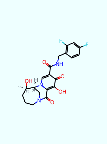 C[C@@]1(O)CCCN2C[C@@H]1n1cc(C(=O)NCc3ccc(F)cc3F)c(=O)c(O)c1C2=O